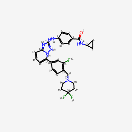 O=C(NC1CC1)c1ccc(Nc2nc3cccc(-c4ccc(CN5CCC(F)(F)CC5)c(F)c4)n3n2)cc1